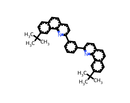 CC(C)(C)c1ccc2ccc3ccc(-c4cccc(-c5ccc6ccc7ccc(C(C)(C)C)cc7c6n5)c4)nc3c2c1